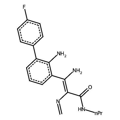 C=N/C(C(=O)NCCC)=C(/N)c1cccc(-c2ccc(F)cc2)c1N